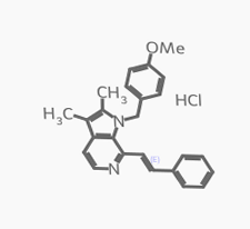 COc1ccc(Cn2c(C)c(C)c3ccnc(/C=C/c4ccccc4)c32)cc1.Cl